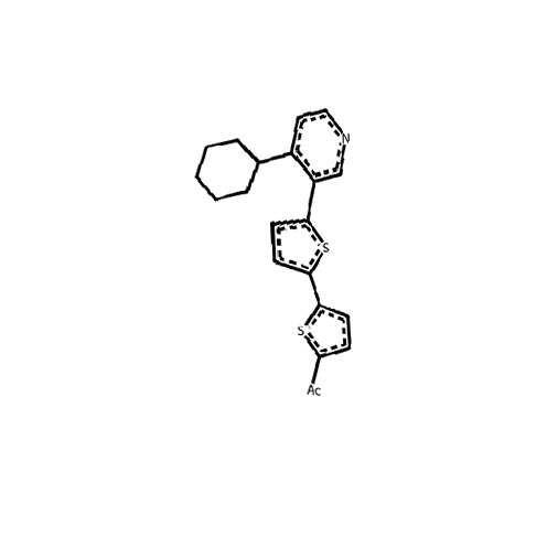 CC(=O)c1ccc(-c2ccc(-c3cnccc3C3CCCCC3)s2)s1